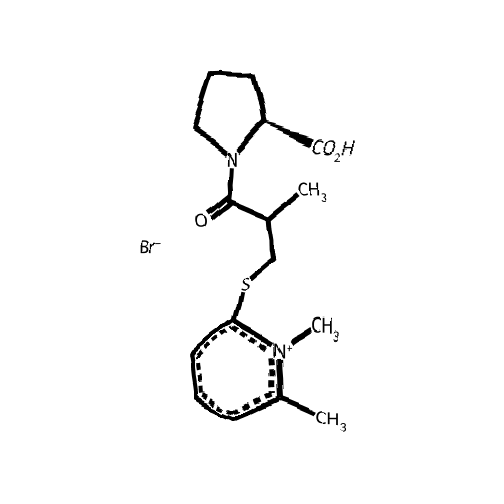 Cc1cccc(SCC(C)C(=O)N2CCC[C@H]2C(=O)O)[n+]1C.[Br-]